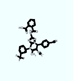 [C-]#[N+]C1=C(C)N(c2cccc(C(F)(F)F)c2)c2nc(NC(=O)c3ccccc3C(=O)O)nn2C1c1ccc(C#N)cc1